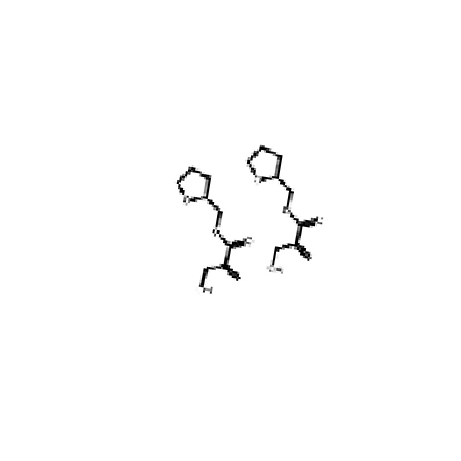 C=C(CO)C(=O)OCC1CCCO1.C=C(CO)C(=O)OCC1CCCO1